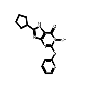 CCCn1c(Sc2ccccn2)nc2nc(C3CCCC3)[nH]c2c1=O